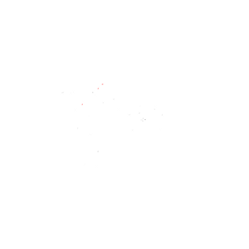 C=C[C@H](OCOCCOC)[C@@H](O)CCCO[Si](C)(C)C(C)(C)C